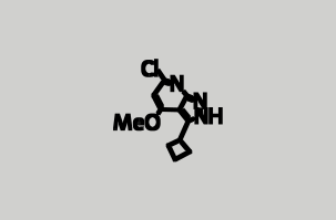 COc1cc(Cl)nc2n[nH]c(C3CCC3)c12